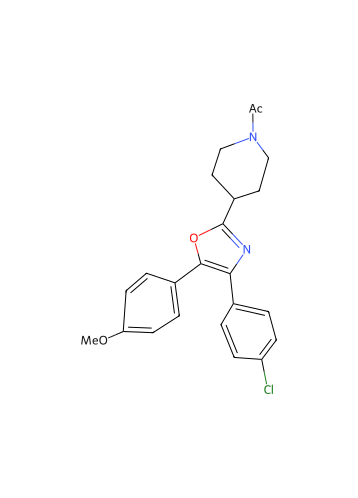 COc1ccc(-c2oc(C3CCN(C(C)=O)CC3)nc2-c2ccc(Cl)cc2)cc1